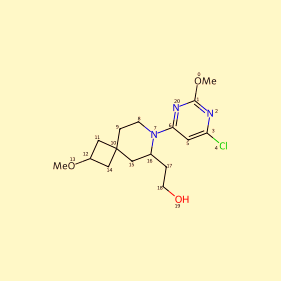 COc1nc(Cl)cc(N2CCC3(CC(OC)C3)CC2CCO)n1